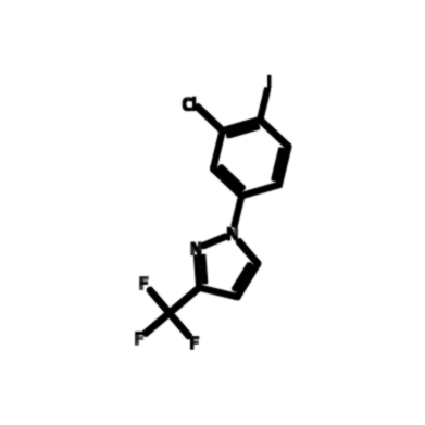 FC(F)(F)c1ccn(-c2ccc(I)c(Cl)c2)n1